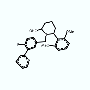 COc1cccc(OC)c1C1CCCC(C=O)N1Cc1ccc(F)c(-c2ccccn2)c1